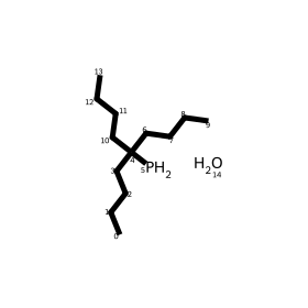 CCCCC(P)(CCCC)CCCC.O